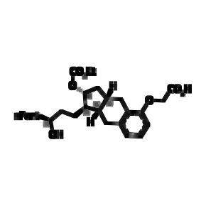 CCCCC[C@H](O)CC[C@@H]1[C@H]2Cc3cccc(OCC(=O)O)c3C[C@H]2C[C@H]1OC(=O)OCC